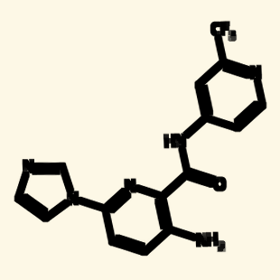 Nc1ccc(-n2ccnc2)nc1C(=O)Nc1ccnc(C(F)(F)F)c1